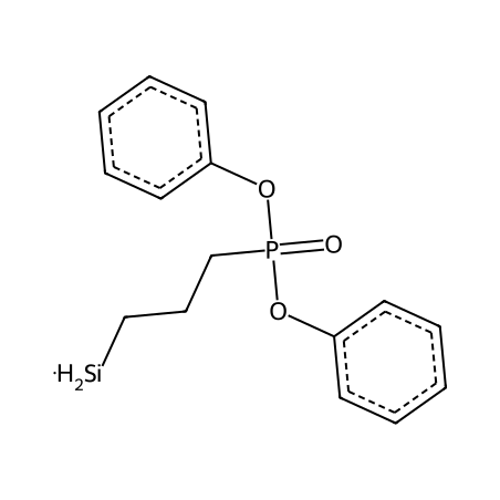 O=P(CCC[SiH2])(Oc1ccccc1)Oc1ccccc1